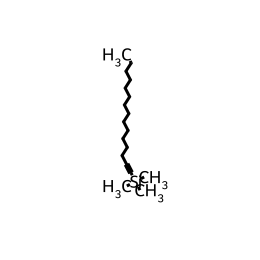 CCCCCCCCCCCCCC#C[Si](C)(C)C